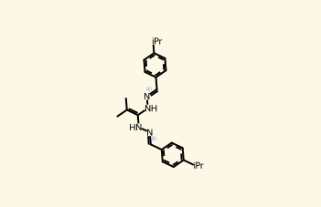 CC(C)=C(N/N=C/c1ccc(C(C)C)cc1)N/N=C/c1ccc(C(C)C)cc1